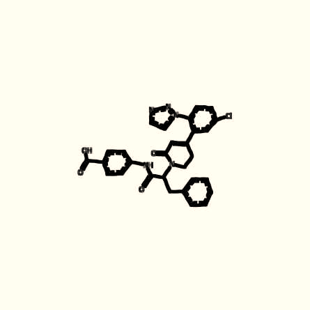 O=C(O)c1ccc(NC(=O)C(Cc2ccccc2)N2CCC(c3cc(Cl)ccc3-n3ccnn3)=CC2=O)cc1